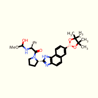 COC(O)N[C@H](C(=O)N1CCC[C@H]1c1nc2ccc3cc(B4OC(C)(C)C(C)(C)O4)ccc3c2[nH]1)C(C)C